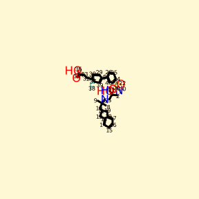 CN(CC(O)CNC(C)(C)CC1Cc2ccccc2C1)S(=O)(=O)c1cccc(-c2ccc(CCC(=O)O)c(F)c2)c1